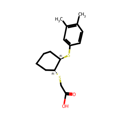 Cc1ccc(S[C@@H]2CCCC[C@H]2SCC(=O)O)cc1C